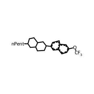 CCCCCC1CCC2CC(c3ccc4cc(OC(F)(F)F)ccc4c3)CCC2C1